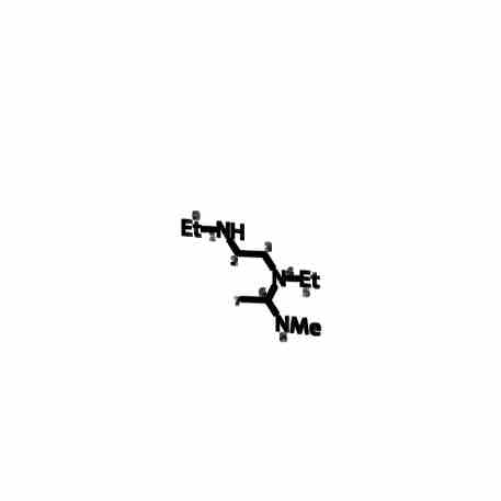 CCNCCN(CC)C(C)NC